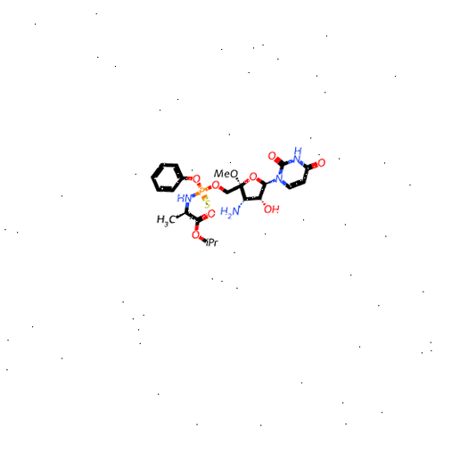 CO[C@]1(COP(=S)(N[C@H](C)C(=O)OC(C)C)Oc2ccccc2)O[C@@H](n2ccc(=O)[nH]c2=O)[C@H](O)[C@@H]1N